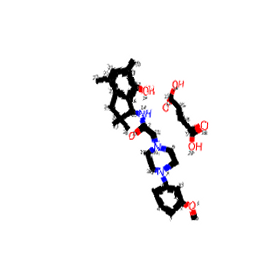 COc1cccc(N2CCN(CC(=O)NC3c4c(O)c(C)cc(C)c4CC3(C)C)CC2)c1.O=C(O)/C=C/C(=O)O